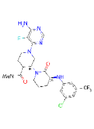 CNC(=O)C1CCN(c2ncnc(N)c2F)C[C@@H]1N1CCC[C@H](Nc2cc(Cl)cc(C(F)(F)F)c2)C1=O